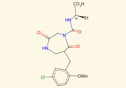 CC[C@@H](NC(=O)N1CC(=O)NCC(Cc2cc(Cl)ccc2OC)C1=O)C(=O)O